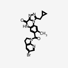 Cc1cc2c(cc1C(=O)N1CCc3cc(Br)cnc31)[nH]c(=O)c1nnc(CC3CC3)n12